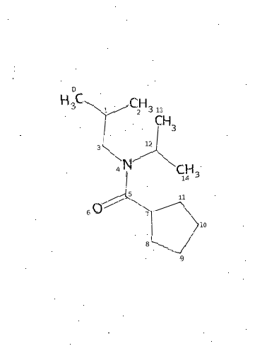 CC(C)CN(C(=O)C1CCCC1)C(C)C